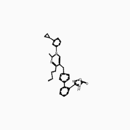 CCCCC1=NC(C)N(c2cccc(C3CC3)c2)C=C1Cc1ccc(-c2ccccc2-c2noc(=O)[nH]2)cc1